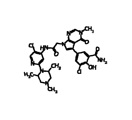 CC1CN(C)CC(C)N1c1cc(NC(=O)Cn2cc(-c3cc(Cl)c(O)c(C(N)=O)c3)c3c(=O)n(C)cnc32)c(Cl)cn1